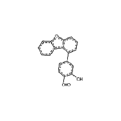 O=Cc1ccc(-c2cccc3oc4ccccc4c23)cc1O